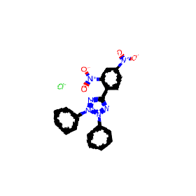 O=[N+]([O-])c1ccc(-c2nn(-c3ccccc3)[n+](-c3ccccc3)n2)c([N+](=O)[O-])c1.[Cl-]